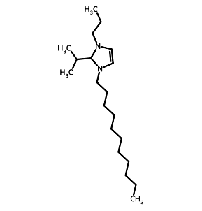 CCCCCCCCCCCN1C=CN(CCC)C1C(C)C